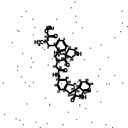 CN(Cc1ccccc1CN(CC(=O)Nc1ccc2c(c1)C[C@@]1(C2)C(=O)Nc2ncccc21)C(=O)C1(C)CCNC1)C(=O)OC(C)(C)C